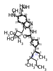 C/C=C(\C=C(\CC)CCC)c1ccc(C(=O)Nc2nc3cc(NO)c(NC)cc3n2CCC(C)(C)O)s1